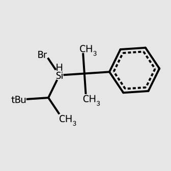 CC([SiH](Br)C(C)(C)c1ccccc1)C(C)(C)C